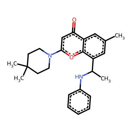 Cc1cc(C(C)Nc2ccccc2)c2oc(N3CCC(C)(C)CC3)cc(=O)c2c1